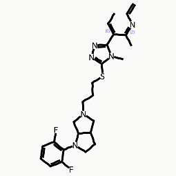 C=C/N=C(C)\C(=C/C)c1nnc(SCCCN2CC3CCN(c4c(F)cccc4F)C3C2)n1C